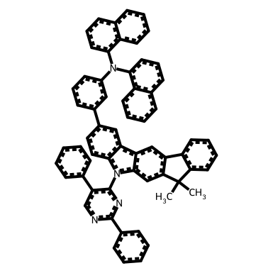 CC1(C)c2ccccc2-c2cc3c4cc(-c5cccc(N(c6cccc7ccccc67)c6cccc7ccccc67)c5)ccc4n(-c4nc(-c5ccccc5)ncc4-c4ccccc4)c3cc21